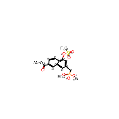 CCOP(=O)(Cc1cc(OS(=O)(=O)C(F)(F)F)c2ccc(C(=O)OC)cc2c1)OCC